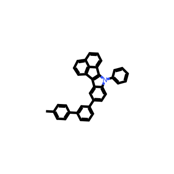 Cc1ccc(-c2cccc(-c3ccc4c(c3)c3c(n4-c4ccccc4)-c4cccc5cccc-3c45)c2)cc1